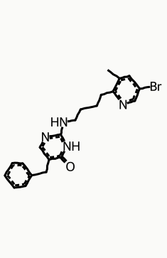 Cc1cc(Br)cnc1CCCCNc1ncc(Cc2ccccc2)c(=O)[nH]1